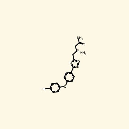 NC(=O)C[C@H](N)Cc1nc(-c2ccc(Oc3ccc(Cl)cc3)cc2)no1